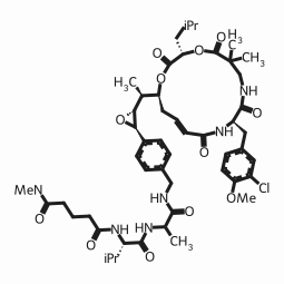 CNC(=O)CCCC(=O)N[C@H](C(=O)NC(C)C(=O)NCc1ccc([C@H]2O[C@@H]2[C@@H](C)[C@@H]2C/C=C/C(=O)N[C@H](Cc3ccc(OC)c(Cl)c3)C(=O)NCC(C)(C)C(=O)O[C@@H](CC(C)C)C(=O)O2)cc1)C(C)C